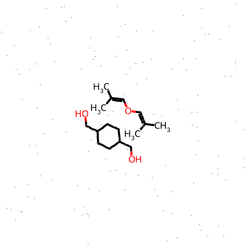 CC(C)=COC=C(C)C.OCC1CCC(CO)CC1